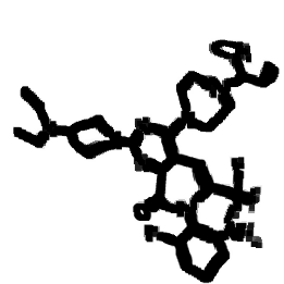 C=CC(O)N1CCN(c2nc(N3CC(N(CC)CC)C3)nc3c(=O)n(-c4c(N)cccc4F)c(C(F)(F)F)cc23)CC1